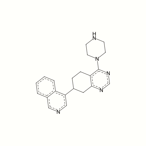 c1ccc2c(C3CCc4c(ncnc4N4CCNCC4)C3)cncc2c1